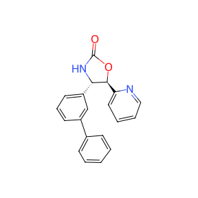 O=C1N[C@@H](c2cccc(-c3ccccc3)c2)[C@H](c2ccccn2)O1